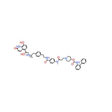 C[C@H](Cc1ccc(CCNC(=O)c2ccc(N(C)C(=O)CCN3CCC(OC(=O)Nc4ccccc4-c4ccccc4)CC3)cc2)cc1)NC[C@H](O)c1ccc(O)c2[nH]c(=O)ccc12